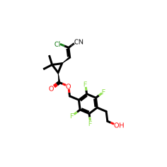 CC1(C)[C@H](C(=O)OCc2c(F)c(F)c(CCO)c(F)c2F)[C@@H]1/C=C(\Cl)C#N